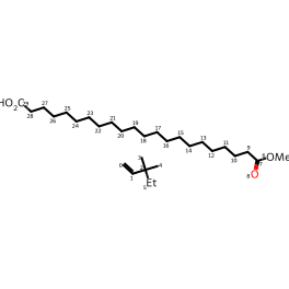 C=CC(C)(C)CC.COC(=O)CCCCCCCCCCCCCCCCCCCCC(=O)O